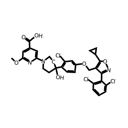 COc1cc(C(=O)O)cc(N2CCC(O)(c3ccc(OCc4c(-c5c(Cl)cccc5Cl)noc4C4CC4)cc3Cl)CC2)n1